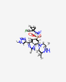 Cc1nc(-c2cn(C)nn2)c2cc(S(=O)(=O)NC3(CF)CC3)cc(N3C[C@H](C)N[C@@H](C)C3)c2n1